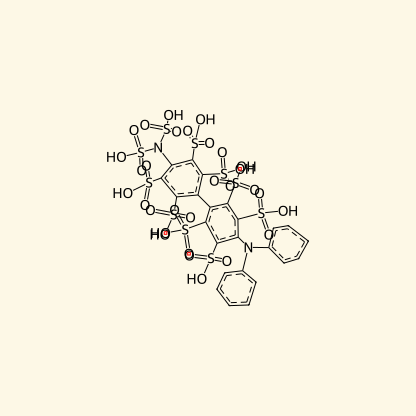 O=S(=O)(O)c1c(-c2c(S(=O)(=O)O)c(S(=O)(=O)O)c(N(S(=O)(=O)O)S(=O)(=O)O)c(S(=O)(=O)O)c2S(=O)(=O)O)c(S(=O)(=O)O)c(S(=O)(=O)O)c(N(c2ccccc2)c2ccccc2)c1S(=O)(=O)O